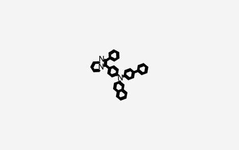 c1ccc(-c2ccc(N(c3ccc(-c4c(-c5ccccc5)nc5ccccn45)cc3)c3ccc4ccccc4c3)cc2)cc1